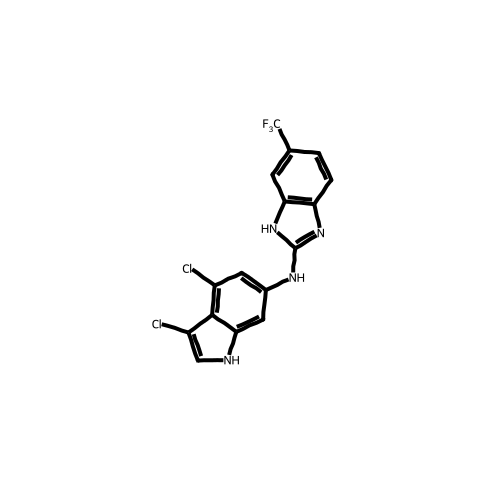 FC(F)(F)c1ccc2nc(Nc3cc(Cl)c4c(Cl)c[nH]c4c3)[nH]c2c1